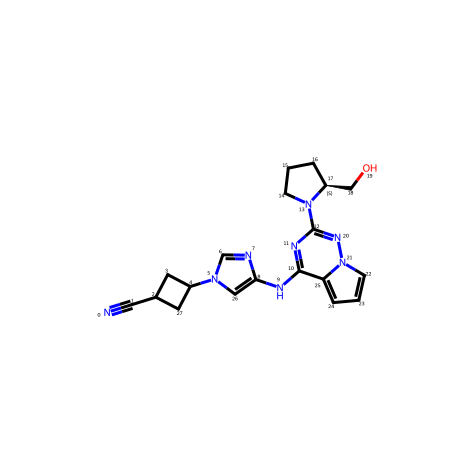 N#CC1CC(n2cnc(Nc3nc(N4CCC[C@H]4CO)nn4cccc34)c2)C1